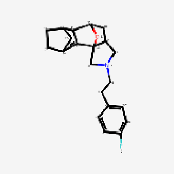 Fc1ccc(CCN2CC3CC4OC3(C2)C2=C3CCC(C3)C24)cc1